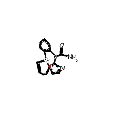 NC(=O)N(c1nccs1)c1ccccc1[SH]1C=CC=C1